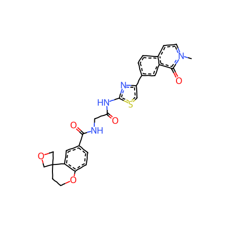 Cn1ccc2ccc(-c3csc(NC(=O)CNC(=O)c4ccc5c(c4)C4(CCO5)COC4)n3)cc2c1=O